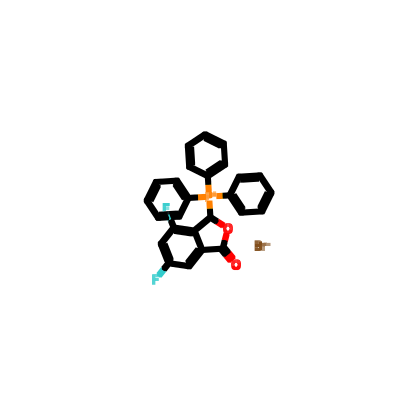 O=C1OC([P+](c2ccccc2)(c2ccccc2)c2ccccc2)c2c(F)cc(F)cc21.[Br-]